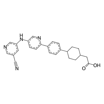 N#Cc1cncc(Nc2ccc(-c3ccc(C4CCC(CC(=O)O)CC4)cc3)nc2)c1